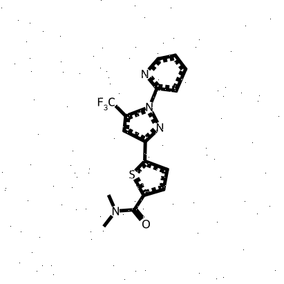 CN(C)C(=O)c1ccc(-c2cc(C(F)(F)F)n(-c3ccccn3)n2)s1